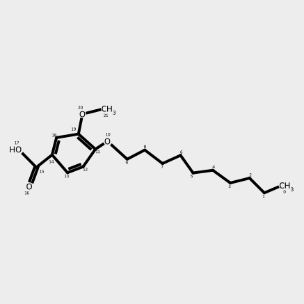 CCCCCCCCCCOc1ccc(C(=O)O)cc1OC